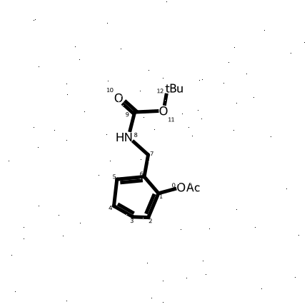 CC(=O)Oc1ccccc1CNC(=O)OC(C)(C)C